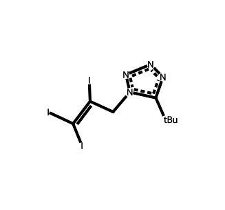 CC(C)(C)c1nnnn1CC(I)=C(I)I